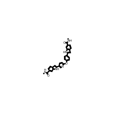 CNC(=O)c1ccc2cc(-c3ccc(Oc4ccc(-c5cc6ccc(C(=O)NC)cc6[nH]5)cn4)cc3)[nH]c2c1